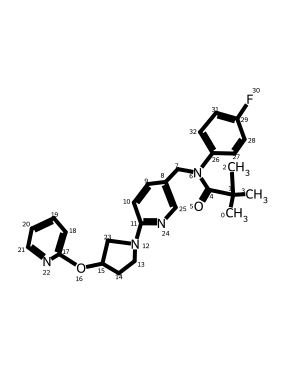 CC(C)(C)C(=O)N(Cc1ccc(N2CCC(Oc3ccccn3)C2)nc1)c1ccc(F)cc1